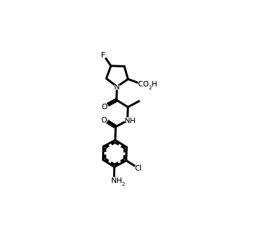 CC(NC(=O)c1ccc(N)c(Cl)c1)C(=O)N1CC(F)CC1C(=O)O